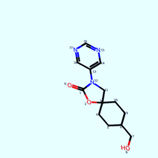 O=C1OC2(CCC(CO)CC2)CN1c1cncnc1